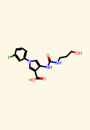 O=C(NCCCO)Nc1cn(-c2cccc(F)c2)cc1C(=O)O